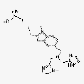 CCCN(CCC)CCCCc1cc2cc(CN(CC3=NCCN3C)Cc3ncc[nH]3)ccc2n1C